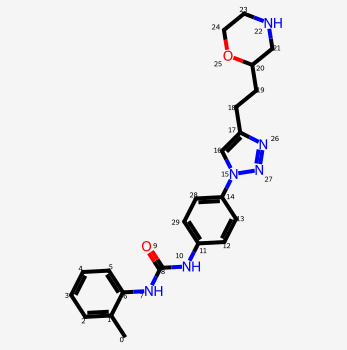 Cc1ccccc1NC(=O)Nc1ccc(-n2cc(CCC3CNCCO3)nn2)cc1